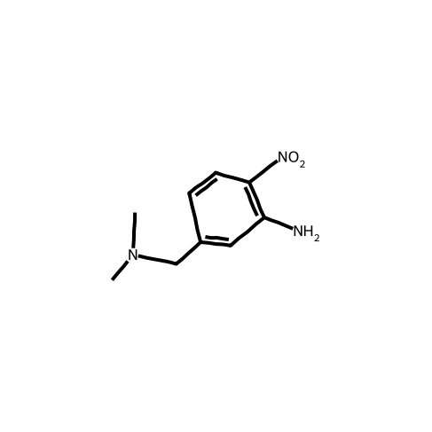 CN(C)Cc1ccc([N+](=O)[O-])c(N)c1